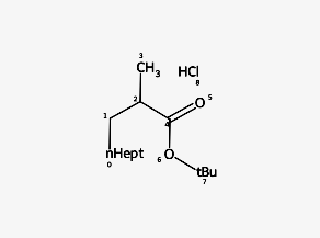 CCCCCCCCC(C)C(=O)OC(C)(C)C.Cl